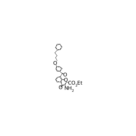 CCOC(=O)c1oc2c(C(=O)c3ccc(OCCCCc4ccccc4)cc3)cccc2c(=O)c1N